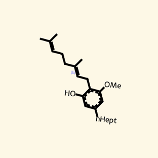 CCCCCCCc1cc(O)c(C/C=C(\C)CCC=C(C)C)c(OC)c1